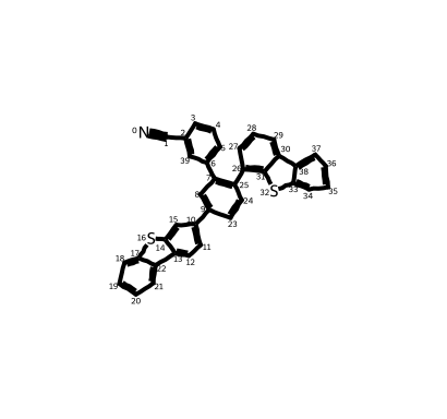 N#Cc1cccc(-c2cc(-c3ccc4c(c3)sc3ccccc34)ccc2-c2cccc3c2sc2ccccc23)c1